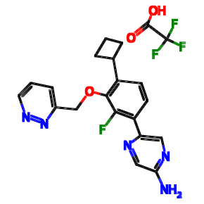 Nc1cnc(-c2ccc(C3CCC3)c(OCc3cccnn3)c2F)cn1.O=C(O)C(F)(F)F